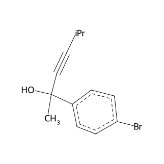 CC(C)C#CC(C)(O)c1ccc(Br)cc1